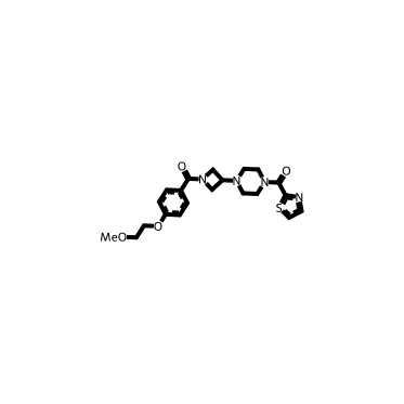 COCCOc1ccc(C(=O)N2CC(N3CCN(C(=O)c4nccs4)CC3)C2)cc1